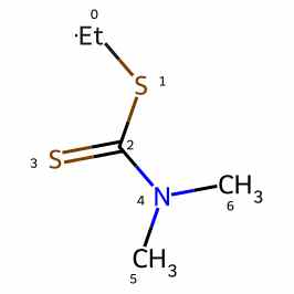 C[CH]SC(=S)N(C)C